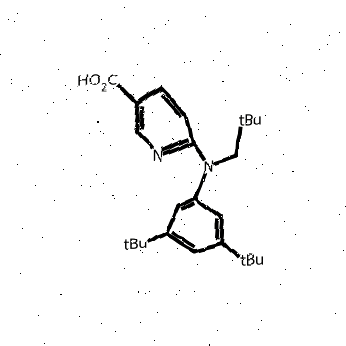 CC(C)(C)CN(c1cc(C(C)(C)C)cc(C(C)(C)C)c1)c1ccc(C(=O)O)cn1